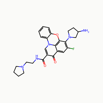 NC1CCN(c2c(F)cc3c(=O)c(C(=O)NCCN4CCCC4)cn4c3c2Oc2ccccc2-4)C1